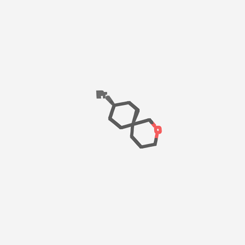 CC(C)[C@H]1CC[C@@]2(CCCOC2)CC1